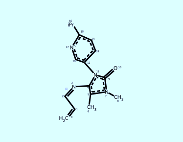 C=C/C=N\c1c(C)n(C)c(=O)n1-c1ccc(C(C)C)nc1